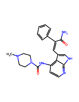 CN1CCN(C(=O)Nc2ccnc3[nH]cc(/C=C(\C(N)=O)c4ccccc4)c23)CC1